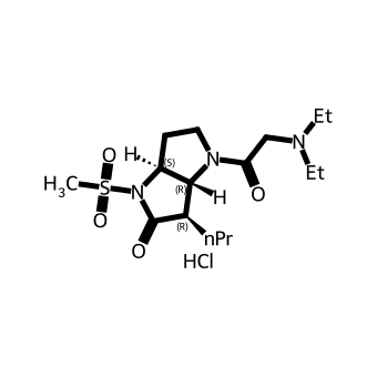 CCC[C@H]1C(=O)N(S(C)(=O)=O)[C@H]2CCN(C(=O)CN(CC)CC)[C@H]12.Cl